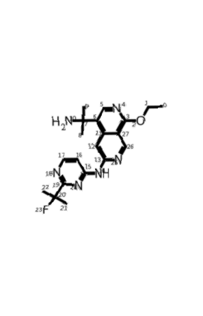 CCOc1ncc(C(C)(C)N)c2cc(Nc3ccnc(C(C)(C)F)n3)ncc12